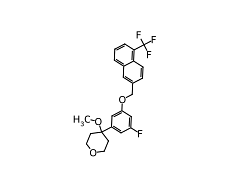 COC1(c2cc(F)cc(OCc3ccc4c(C(F)(F)F)cccc4c3)c2)CCOCC1